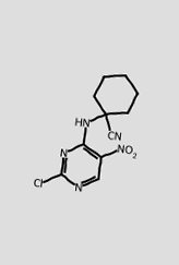 N#CC1(Nc2nc(Cl)ncc2[N+](=O)[O-])CCCCC1